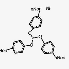 CCCCCCCCCc1ccc(OP(Oc2ccc(CCCCCCCCC)cc2)Oc2ccc(CCCCCCCCC)cc2)cc1.[Ni]